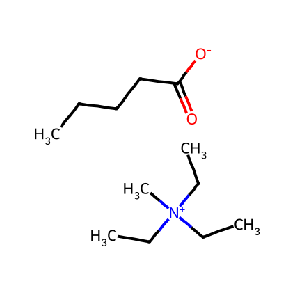 CCCCC(=O)[O-].CC[N+](C)(CC)CC